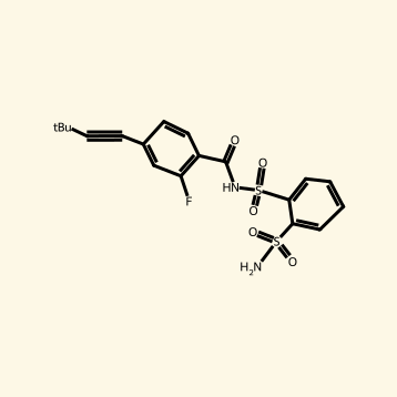 CC(C)(C)C#Cc1ccc(C(=O)NS(=O)(=O)c2ccccc2S(N)(=O)=O)c(F)c1